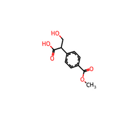 COC(=O)c1ccc(C(CO)C(=O)O)cc1